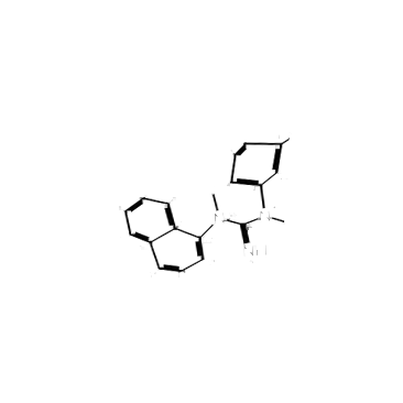 Cc1cccc(N(C)C(=N)N(C)c2cccc3ccccc23)c1